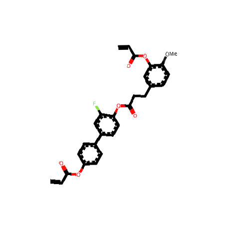 C=CC(=O)Oc1ccc(-c2ccc(OC(=O)CCc3ccc(OC)c(OC(=O)C=C)c3)c(F)c2)cc1